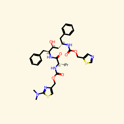 CC(C)[C@H](NC(=O)OCc1csc(N(C)C)n1)C(=O)N[C@@H](Cc1ccccc1)[C@@H](O)C[C@H](Cc1ccccc1)NC(=O)OCc1cncs1